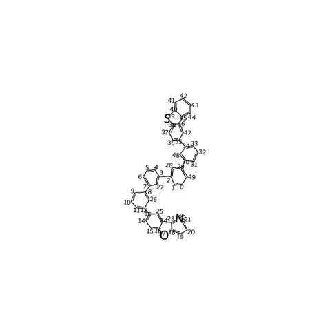 c1cc(-c2cccc(-c3cccc(-c4ccc5oc6cccnc6c5c4)c3)c2)cc(-c2cccc(-c3ccc4sc5ccccc5c4c3)c2)c1